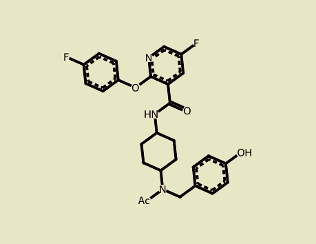 CC(=O)N(Cc1ccc(O)cc1)C1CCC(NC(=O)c2cc(F)cnc2Oc2ccc(F)cc2)CC1